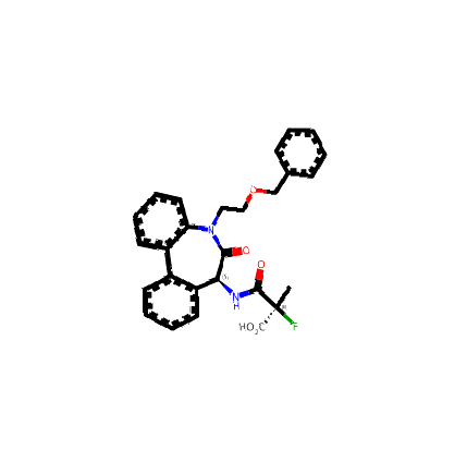 C[C@](F)(C(=O)O)C(=O)N[C@@H]1C(=O)N(CCOCc2ccccc2)c2ccccc2-c2ccccc21